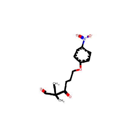 CC(C)([C]=O)C(=O)CCCOc1ccc([N+](=O)[O-])cc1